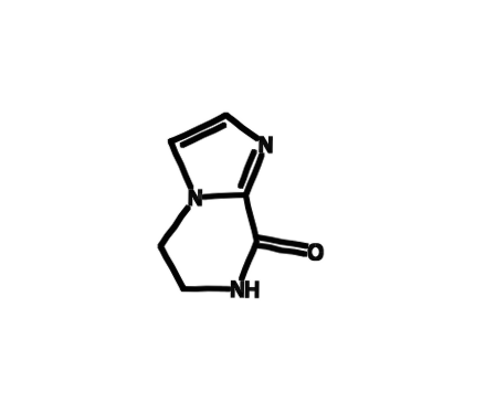 O=C1NCCn2ccnc21